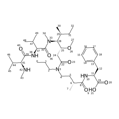 CCCN(CC[C@@H](C)C(=O)N[C@@H](Cc1ccccc1)C(=O)O)C(=O)C[C@@H](OC)[C@H]([C@@H](C)CC)N(C)C(=O)[C@@H](NC(=O)[C@@H](NC)C(C)C)C(C)C